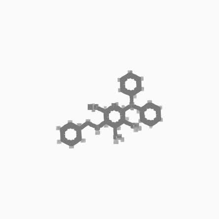 Cc1nc(N(c2ccccc2)c2ccccc2)c(C)c(C)c1OCc1ccccc1